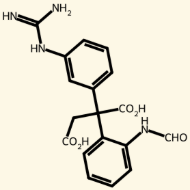 N=C(N)Nc1cccc(C(CC(=O)O)(C(=O)O)c2ccccc2NC=O)c1